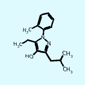 CCc1c(O)c(CC(C)C)nn1-c1ccccc1C